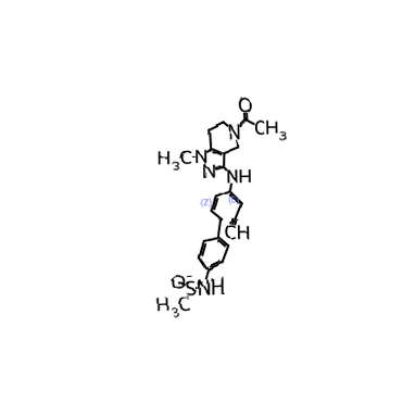 C#C/C=C(\C=C/Cc1ccc(N[S+](C)[O-])cc1)Nc1nn(C)c2c1CN(C(C)=O)CC2